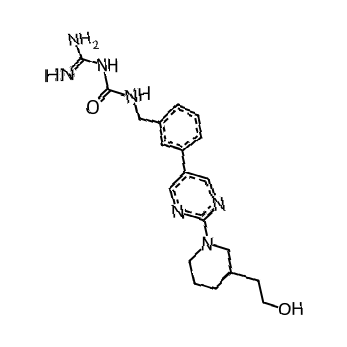 N=C(N)NC(=O)NCc1cccc(-c2cnc(N3CCCC(CCO)C3)nc2)c1